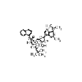 Cc1nc(N(C)C)c2ncn([C@@H]3O[C@](CCl)(CO[P@@](=O)(N[C@@H](C)C(=O)OCC(C)(C)C)Oc4cccc5ccccc45)[C@@H](O)[C@H]3F)c2n1